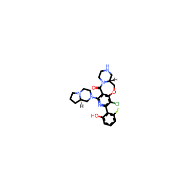 O=C1c2c(N3CCN4CCC[C@@H]4C3)nc(-c3c(O)cccc3F)c(Cl)c2OC[C@H]2CNCCN12